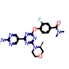 C[C@H]1COCCN1c1nc(Oc2ccc(C(=O)N(C)C)cc2F)nc(-c2cnc(N)nc2)n1